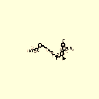 CNC(=O)c1c(-c2ccc(F)cc2)oc2cc(CS(=O)(=O)NCCOCCOCCCc3cccc(C(=O)CC(=O)C(=O)O)c3)c(C3CC3)cc12